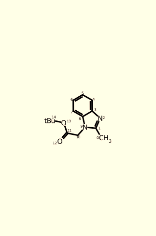 Cc1nc2ccccc2n1CC(=O)OC(C)(C)C